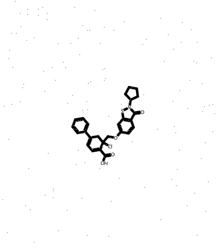 O=C(O)C1=CC=C(c2ccccc2)CC1(Cl)COc1ccc2c(=O)n(C3CCCC3)sc2c1